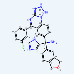 Cn1cncc1C(N)(c1ccc2c(c1)COC2)c1ccc2c(c1)C(c1cccc(Cl)c1)=NC1=NNNN12